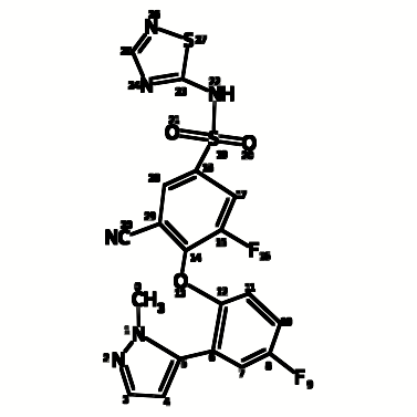 Cn1nccc1-c1cc(F)ccc1Oc1c(F)cc(S(=O)(=O)Nc2ncns2)cc1C#N